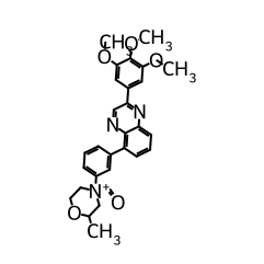 COc1cc(-c2cnc3c(-c4cccc([N+]5(C=O)CCOC(C)C5)c4)cccc3n2)cc(OC)c1OC